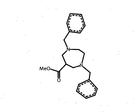 COC(=O)C1CN(Cc2ccccc2)CCN(Cc2ccccc2)C1